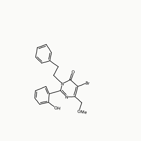 COCc1nc(-c2ccccc2O)n(CCc2ccccc2)c(=O)c1Br